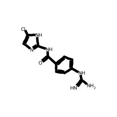 N=C(N)Nc1ccc(C(=O)Nc2ncc(Cl)[nH]2)cc1